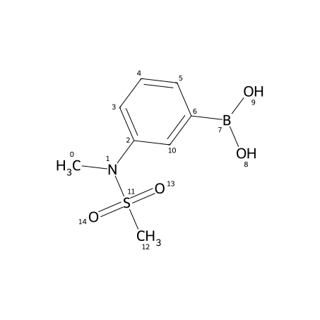 CN(c1cccc(B(O)O)c1)S(C)(=O)=O